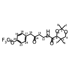 CC1(C)OCC(C)(C)C(C(=O)NCCC(=O)Cc2ccc(OC(F)(F)F)cc2)O1